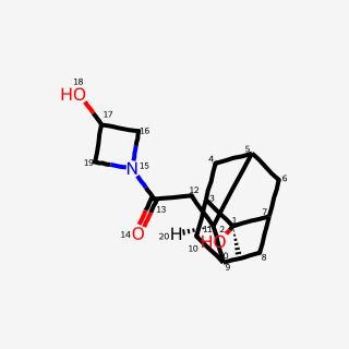 C[C@]1(O)C2CC3CC1CC(C2)[C@H]3CC(=O)N1CC(O)C1